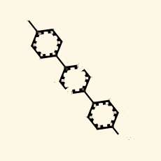 COc1ccc(-c2cnc(-c3ccc(C)cc3)cn2)cc1